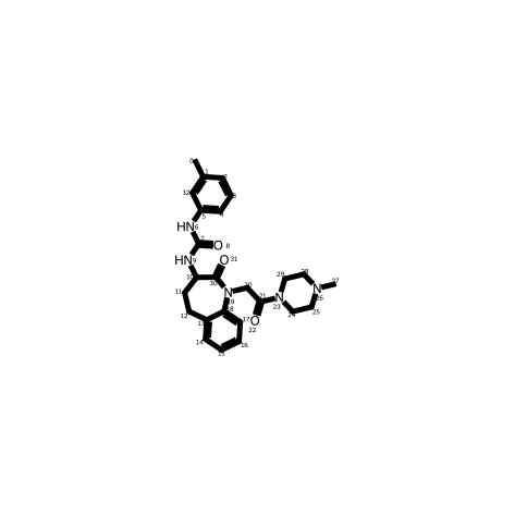 Cc1cccc(NC(=O)NC2CCc3ccccc3N(CC(=O)N3CCN(C)CC3)C2=O)c1